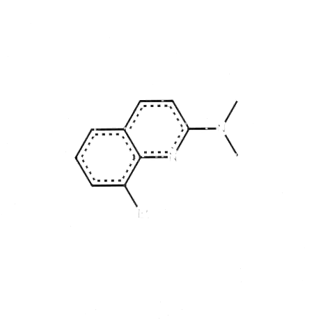 CCc1cccc2ccc(N(C)C)nc12